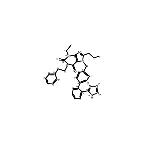 CCCc1nc2c(c(=O)n(CCc3ccccc3)c(=O)n2CC)n1Cc1ccc(-c2ccccc2-c2nnn[nH]2)cc1